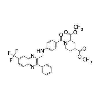 COC(=O)C1CCN(C(=O)c2ccc(NCc3nc4cc(C(F)(F)F)ccc4nc3-c3ccccc3)cc2)C(C(=O)OC)C1